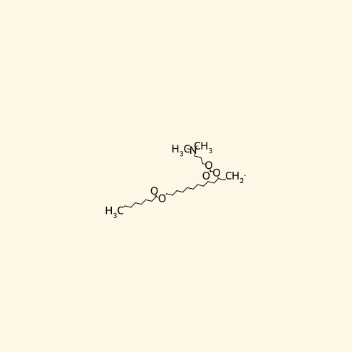 [CH2]CC(CCCCCCCCCCOC(=O)CCCCCCC)OC(=O)OCCCN(C)C